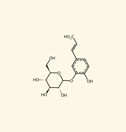 O=C(O)/C=C/c1ccc(O)c(OC2O[C@H](CO)[C@@H](O)[C@H](O)[C@H]2O)c1